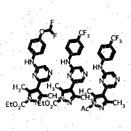 CC(=O)n1nc(C)c(-c2cncc(Nc3ccc(C(F)(F)F)cc3)n2)c1C.CCOC(=O)n1nc(C)c(-c2cncc(Nc3ccc(C(F)(F)F)cc3)n2)c1C.CCOC(=O)n1nc(C)c(-c2cncc(Nc3ccc(OC(F)F)cc3)n2)c1C